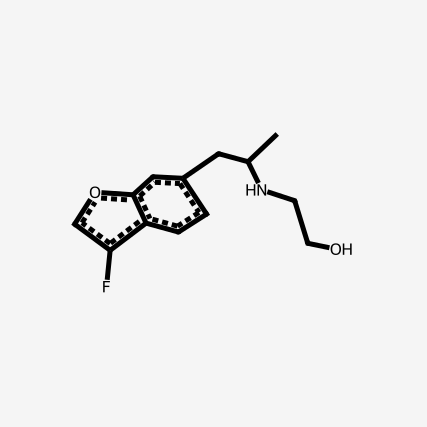 CC(Cc1ccc2c(F)coc2c1)NCCO